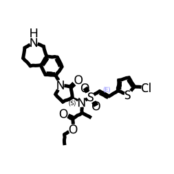 CCOC(=O)C(C)N([C@H]1CCN(c2ccc3c(c2)CCCNC3)C1=O)S(=O)(=O)/C=C/c1ccc(Cl)s1